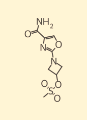 CS(=O)(=O)OC1CN(c2nc(C(N)=O)co2)C1